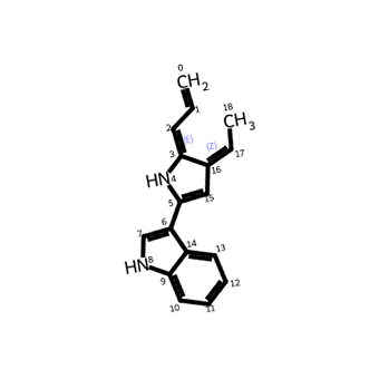 C=C/C=c1/[nH]c(-c2c[nH]c3ccccc23)c/c1=C/C